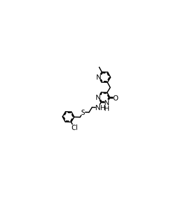 Cc1ccc(Cc2cnc(NCCSCc3ccccc3Cl)[nH]c2=O)cn1